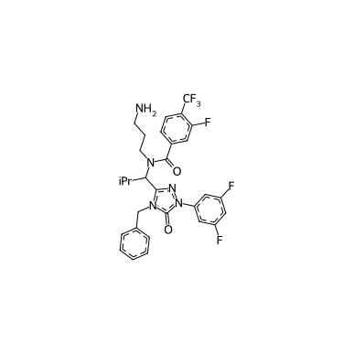 CC(C)C(c1nn(-c2cc(F)cc(F)c2)c(=O)n1Cc1ccccc1)N(CCCN)C(=O)c1ccc(C(F)(F)F)c(F)c1